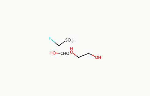 O=CO.O=S(=O)(O)CF.OCCO